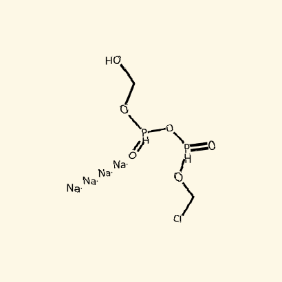 O=[PH](OCO)O[PH](=O)OCCl.[Na].[Na].[Na].[Na]